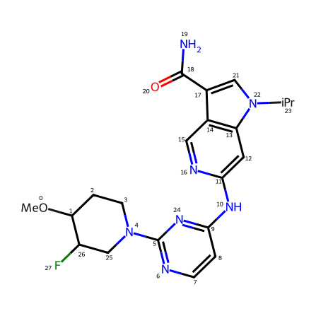 COC1CCN(c2nccc(Nc3cc4c(cn3)c(C(N)=O)cn4C(C)C)n2)CC1F